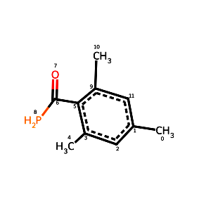 Cc1cc(C)c(C(=O)P)c(C)c1